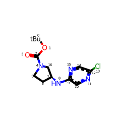 CC(C)(C)OC(=O)N1CC[C@H](Nc2cnc(Cl)cn2)C1